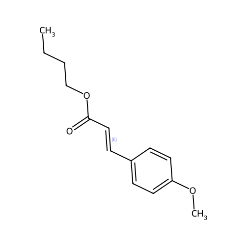 CCCCOC(=O)/C=C/c1ccc(OC)cc1